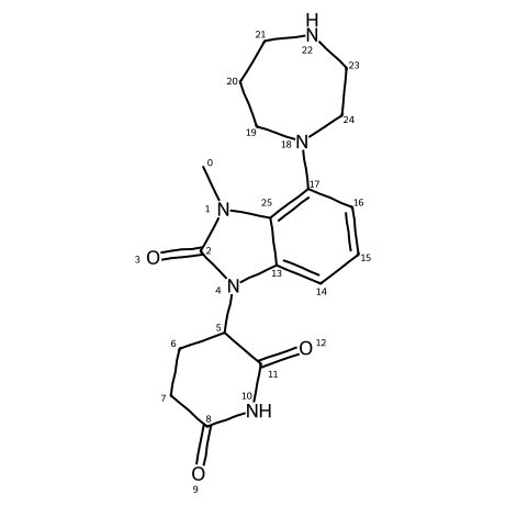 Cn1c(=O)n(C2CCC(=O)NC2=O)c2cccc(N3CCCNCC3)c21